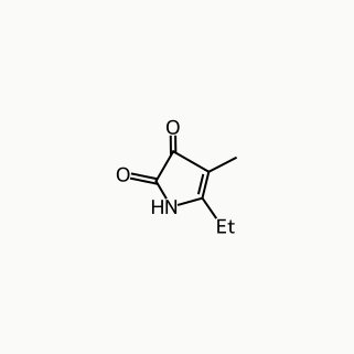 CCC1=C(C)C(=O)C(=O)N1